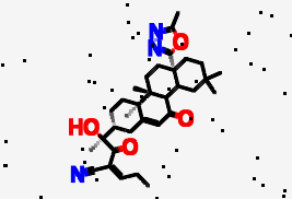 CC/C=C(/C#N)C(=O)[C@@](C)(O)[C@@H]1CC[C@]2(C)C(=CC(=O)C3C4CC(C)(C)CC[C@]4(c4nnc(C)o4)CC[C@]32C)C1